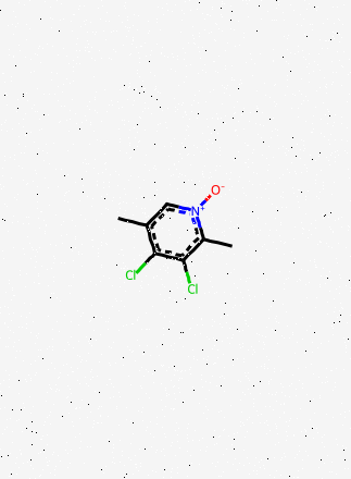 Cc1c[n+]([O-])c(C)c(Cl)c1Cl